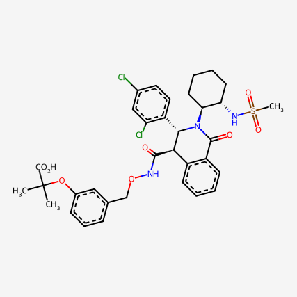 CC(C)(Oc1cccc(CONC(=O)[C@@H]2c3ccccc3C(=O)N([C@H]3CCCC[C@@H]3NS(C)(=O)=O)[C@H]2c2ccc(Cl)cc2Cl)c1)C(=O)O